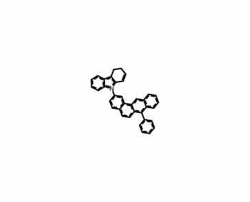 C1=Cc2c(c3ccccc3n2-c2ccc3ccc4c(-c5ccccc5)c5ccccc5cc4c3c2)CC1